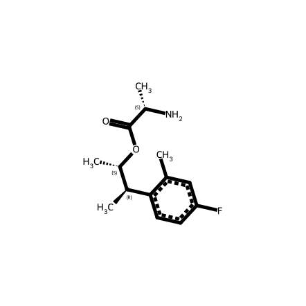 Cc1cc(F)ccc1[C@@H](C)[C@H](C)OC(=O)[C@H](C)N